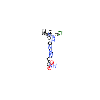 CC(=O)N1c2ccc(-c3ccc(N4CCC(N5CCN(Cc6cccc(C7CCC(=O)NC7=O)c6)CC5)CC4)cc3)cc2C(Nc2ccc(Cl)cc2)CC1C